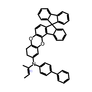 C/C=C(\C)N(C1=CC2=C(CC1)Oc1ccc3c(c1O2)-c1ccccc1C31c2ccccc2-c2ccccc21)c1ccc(-c2ccccc2)cc1